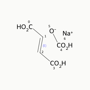 O=C(O)/C=C/C(=O)O.O=C([O-])O.[Na+]